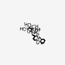 C[C@@]1(O)[C@H](O)[C@@H](CO)O[C@H]1n1cc2ccc(=O)n(Cc3ccccc3)c2nc1=O